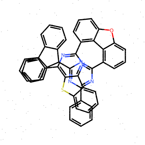 c1ccc(-c2nc(-c3cccc4oc5cccc(-c6nc(-c7ccccc7)c7sc8ccccc8c7n6)c5c34)nc(C3c4ccccc4-c4ccccc43)n2)cc1